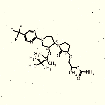 CC(CO[C@@H]1CCN([C@@H]2CCN(c3ncc(C(F)(F)F)cn3)C[C@@H]2O[Si](C)(C)C(C)(C)C)C1=O)OC(N)=O